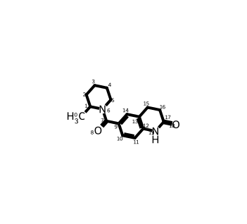 CC1CCCCN1C(=O)c1ccc2c(c1)CCC(=O)N2